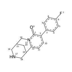 O=c1c(-c2ccc(F)cc2)ccc2n1CC1CNCC2C1